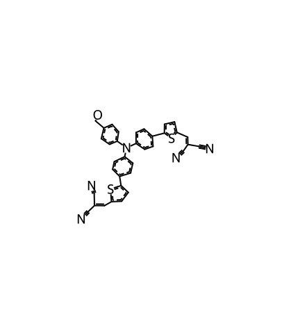 N#CC(C#N)=Cc1ccc(-c2ccc(N(c3ccc(C=O)cc3)c3ccc(-c4ccc(C=C(C#N)C#N)s4)cc3)cc2)s1